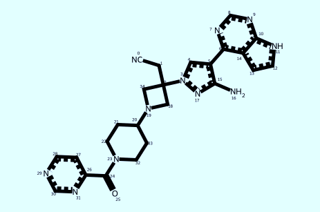 N#CCC1(n2cc(-c3ncnc4[nH]ccc34)c(N)n2)CN(C2CCN(C(=O)c3ccncn3)CC2)C1